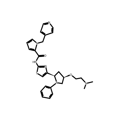 CN(C)CCO[C@@H]1C[C@H](c2csc(NC(=O)c3cccn3Cc3ccncc3)n2)N(c2ccccc2)C1